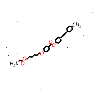 C=CC(=O)OCCCCCCOC1CCC(C(=O)OC2CCC(C#CC3CCC(C)CC3)CC2)CC1